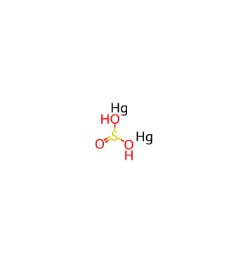 O=S(O)O.[Hg].[Hg]